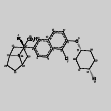 CC[C@@H](c1ccc2c(Cl)c(O[C@H]3CC[C@@H](CC)CC3)ccc2c1)N1C2CCC1CC(C(=O)O)C2